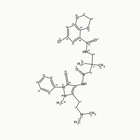 CN(C)CCc1c(NC(=O)CC(C)(C)CNC(=O)c2cc(Cl)cc3c2OCCO3)c(=O)n(-c2ccccc2)n1C